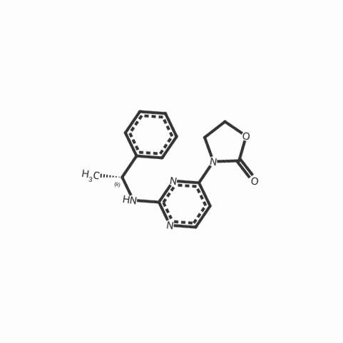 C[C@@H](Nc1nccc(N2CCOC2=O)n1)c1ccccc1